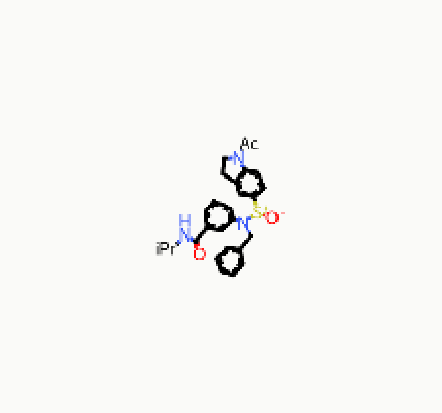 CC(=O)N1CCc2cc([S+]([O-])N(Cc3ccccc3)c3cccc(C(=O)NC(C)C)c3)ccc21